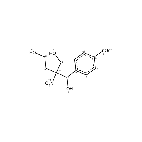 CCCCCCCCc1ccc(C(O)C(CO)(CCO)[N+](=O)[O-])cc1